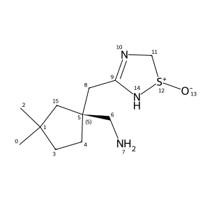 CC1(C)CC[C@@](CN)(CC2=NC[S+]([O-])N2)C1